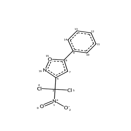 O=[N+]([O-])C(Cl)(Cl)c1cc(-c2ccccc2)on1